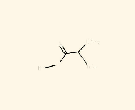 CCCCC(OC)C(=O)OCCC